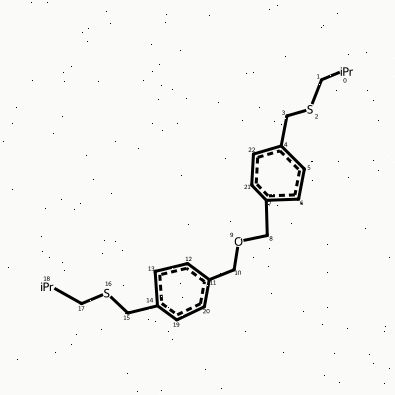 CC(C)CSCc1ccc(COCc2ccc(CSCC(C)C)cc2)cc1